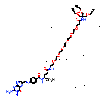 C#CCOCC(COCC#C)(COCC#C)NC(=O)CCOCCOCCOCCOCCOCCOCCNC(=O)CC[C@H](NC(=O)c1ccc(NCc2cnc3nc(N)[nH]c(=O)c3n2)cc1)C(=O)O